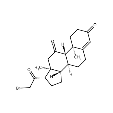 C[C@]12CC(=O)[C@H]3[C@@H](CCC4=CC(=O)CC[C@@]43C)[C@@H]1CC[C@@H]2C(=O)CBr